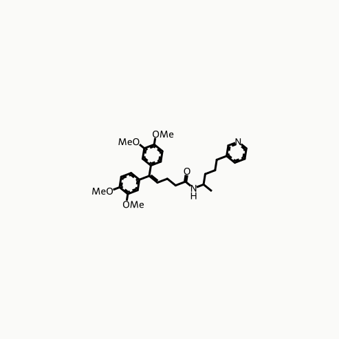 COc1ccc(C(=CCCC(=O)NC(C)CCCc2cccnc2)c2ccc(OC)c(OC)c2)cc1OC